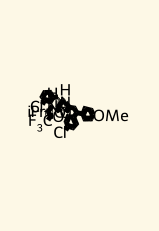 COc1ccc(C(CC(=O)N[C@@H](Cc2cccc(Cl)c2)C(=O)N[C@H](C(=O)C(F)(F)F)C(C)C)c2ccc(Cl)cc2)cc1